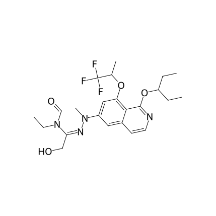 CCC(CC)Oc1nccc2cc(N(C)/N=C(/CO)N(C=O)CC)cc(OC(C)C(F)(F)F)c12